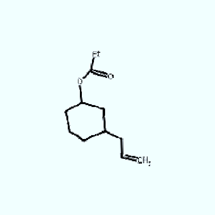 C=CCC1CCCC(OC(=O)CC)C1